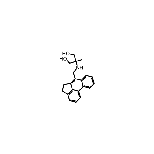 CC(CO)(CO)NCc1c2c3c(cccc3c3ccccc13)CC2